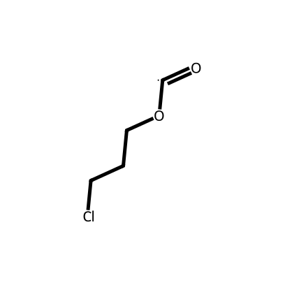 O=[C]OCCCCl